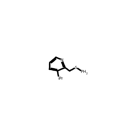 CC(C)c1cccnc1CSP